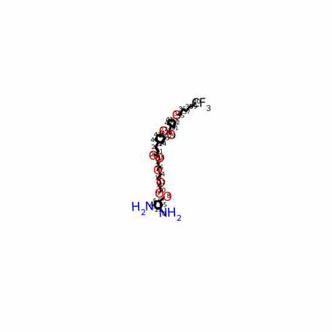 Nc1cc(N)cc(C(=O)OCCOCCOCCOC(=O)C=Cc2ccc(OC(=O)c3ccc(OCCCCCC(F)(F)F)cc3)cc2)c1